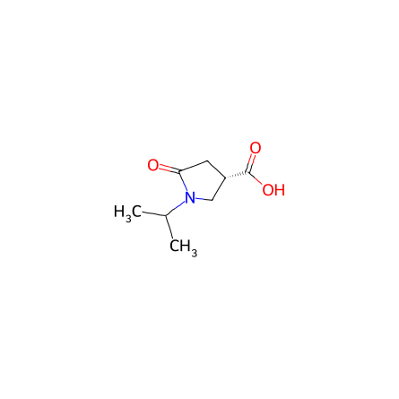 CC(C)N1C[C@@H](C(=O)O)CC1=O